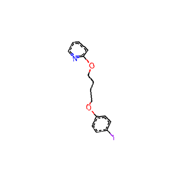 Ic1ccc(OCCCCOc2ccccn2)cc1